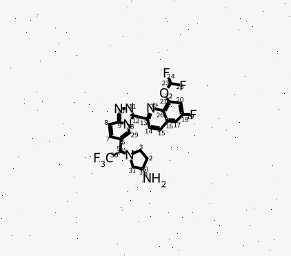 N[C@H]1CCN([C@H](c2ccc3nnc(-c4ccc5cc(F)cc(OC(F)F)c5n4)n3c2)C(F)(F)F)C1